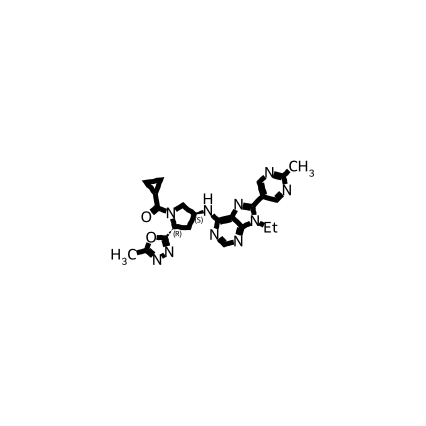 CCn1c(-c2cnc(C)nc2)nc2c(N[C@H]3C[C@H](c4nnc(C)o4)N(C(=O)C4CC4)C3)ncnc21